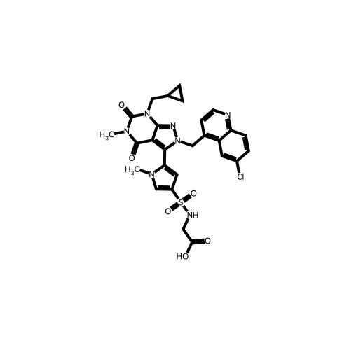 Cn1cc(S(=O)(=O)NCC(=O)O)cc1-c1c2c(=O)n(C)c(=O)n(CC3CC3)c2nn1Cc1ccnc2ccc(Cl)cc12